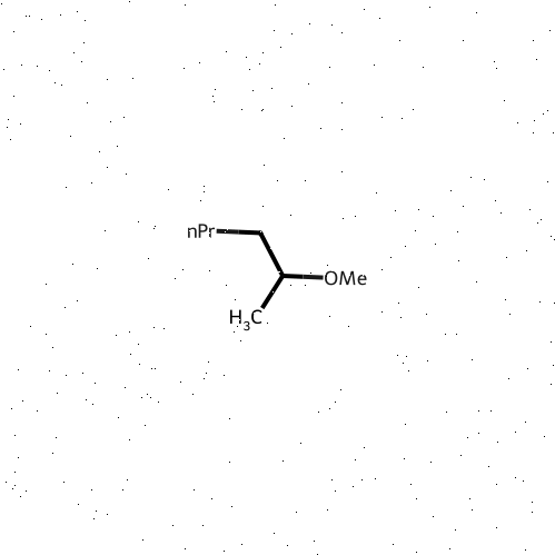 CCCCC(C)OC